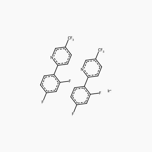 Fc1ccc(-c2ccc(C(F)(F)F)cn2)c(F)c1.Fc1ccc(-c2ccc(C(F)(F)F)cn2)c(F)c1.[Ir+]